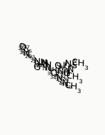 COc1nc(SC)ncc1C(=O)Nc1cc(-n2cc(C(=O)NCCCN3CCOCC3)nn2)ccc1N1CCN(C)CC1